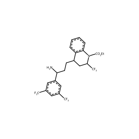 CCOC(=O)N1c2ccccc2C(CCC(N)c2cc(C(F)(F)F)cc(C(F)(F)F)c2)CC1C(F)(F)F